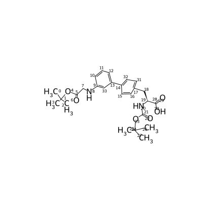 CC(C)(C)OC(=O)CNc1cccc(-c2ccc(C[C@H](NC(=O)OC(C)(C)C)C(=O)O)cc2)c1